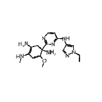 CCn1cc(Nc2ccnc(C3(N)CC(N)=C(NC)C=C3OC)n2)cn1